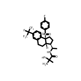 CCCC(C)(N)C(=O)NC(C)[C@@H]1CC[C@@]2(S(=O)(=O)c3ccc(F)cc3)c3ccc(C(F)(C(F)(F)F)C(F)(F)F)cc3CC[C@@H]12